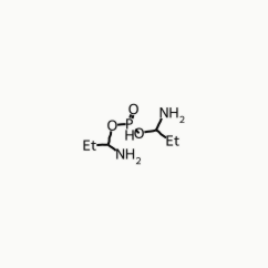 CCC(N)O[PH](=O)OC(N)CC